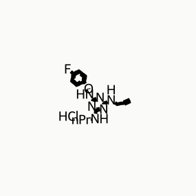 C#CCNc1nc(NCCC)nc(NOc2ccc(F)cc2)n1.Cl